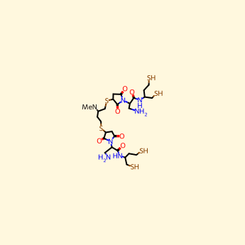 CNC(CCSC1CC(=O)N(C(CN)C(=O)NC(CS)CCS)C1=O)CSC1CC(=O)N(C(CN)C(=O)NC(CS)CCS)C1=O